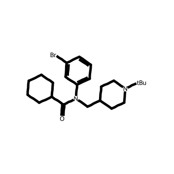 CC(C)(C)N1CCC(CN(C(=O)C2CCCCC2)c2cccc(Br)c2)CC1